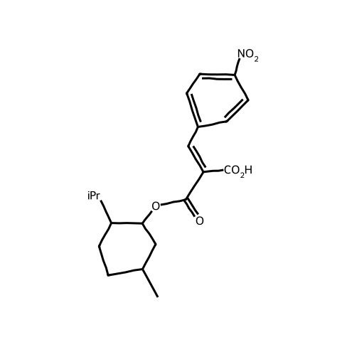 CC1CCC(C(C)C)C(OC(=O)C(=Cc2ccc([N+](=O)[O-])cc2)C(=O)O)C1